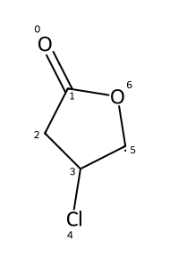 O=C1CC(Cl)[CH]O1